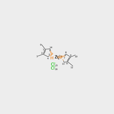 CC1=C(C)C[PH]([Zr+2][PH]2=CC(C)=C(C)C2)=C1.[Cl-].[Cl-]